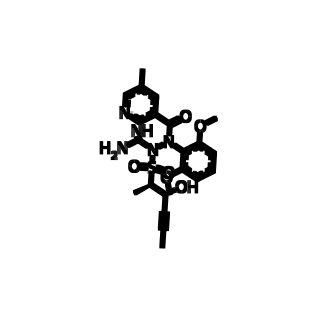 CC#C[C@H](O)[C@@H](C)S(=O)(=O)N(C(=N)N)N(C(=O)c1cncc(C)c1)c1c(OC)cccc1OC